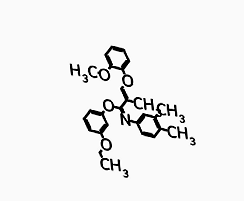 CCOc1cccc(OC(=Nc2ccc(C)c(C)c2)C(C)=COc2ccccc2OC)c1